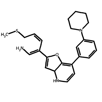 CSC/C=C\C(=C/N)C1=CC2NC=CC(c3cccc(N4CCCCC4)c3)=C2O1